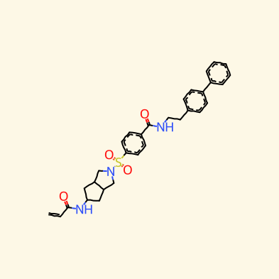 C=CC(=O)NC1CC2CN(S(=O)(=O)c3ccc(C(=O)NCCc4ccc(-c5ccccc5)cc4)cc3)CC2C1